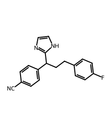 N#Cc1ccc(C(CCc2ccc(F)cc2)c2ncc[nH]2)cc1